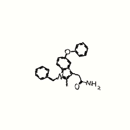 Cc1c(CC(N)=O)c2cc(Oc3ccccc3)ccc2n1Cc1ccccc1